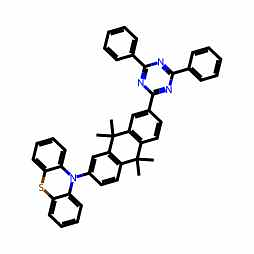 CC1(C)c2ccc(-c3nc(-c4ccccc4)nc(-c4ccccc4)n3)cc2C(C)(C)c2cc(N3c4ccccc4Sc4ccccc43)ccc21